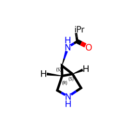 CC(C)C(=O)N[C@H]1[C@@H]2CNC[C@@H]21